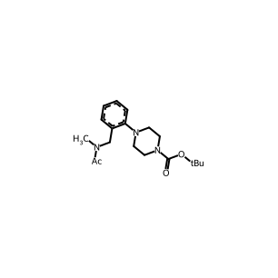 CC(=O)N(C)Cc1ccccc1N1CCN(C(=O)OC(C)(C)C)CC1